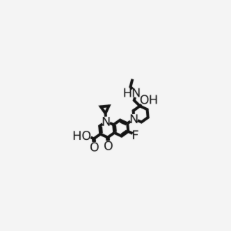 CCNCC1(O)CCCN(c2cc3c(cc2F)c(=O)c(C(=O)O)cn3C2CC2)C1